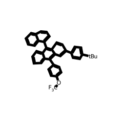 CC(C)(C)c1ccc(-c2ccc3c(-c4cccc5ccccc45)c4ccccc4c(-c4ccc(OC(F)(F)F)cc4)c3c2)cc1